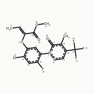 C/C=C(\Oc1cc(-n2ncc(C(F)(F)F)c(C)c2=O)c(F)cc1Cl)C(=O)OC